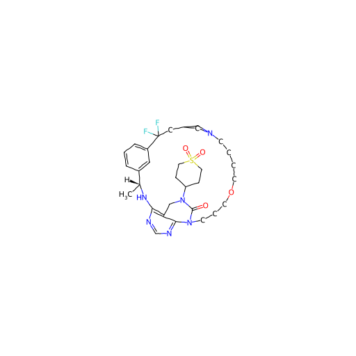 C[C@H]1Nc2ncnc3c2CN(C2CCS(=O)(=O)CC2)C(=O)N3CCCOCCCCN2CC(C2)CC(F)(F)c2cccc1c2